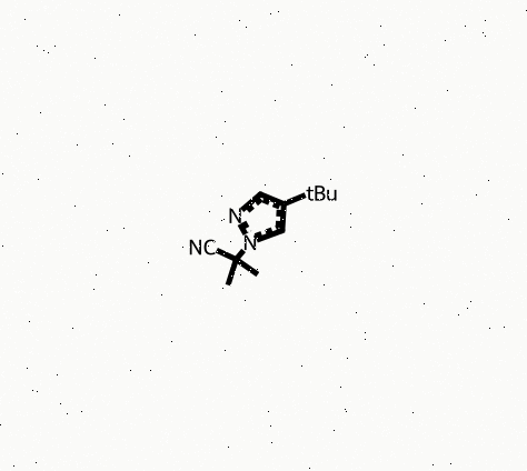 CC(C)(C)c1cnn(C(C)(C)C#N)c1